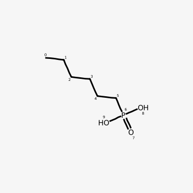 CCCCCCP(=O)(O)O